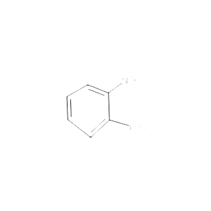 CCCCc1ccccc1N=O